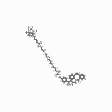 O=C(CCCCC1SC[C@@H]2NC(=O)N[C@H]12)NCCCOCCOOCCOCCCNC(=O)OCc1ccc(C2CC(CN3C(=O)c4ccccc4C#Cc4ccccc43)ON2)cc1